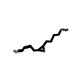 C=C/C=C\CC1OC1CCCCCCCCCCC